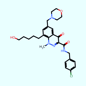 Cn1nc(C(=O)NCc2ccc(Cl)cc2)c(=O)c2cc(CN3CCOCC3)cc(CCCCCO)c21